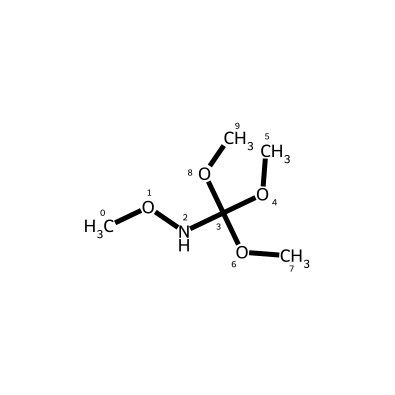 CONC(OC)(OC)OC